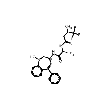 CC(NC(=O)CC(C)C(F)(F)F)C(=O)N[C@@H]1CN(C)c2ccccc2C(c2ccccc2)=N1